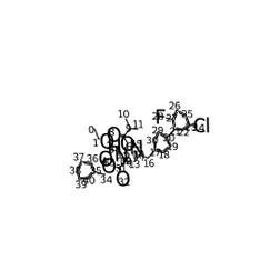 CCOC(=O)N(OC(=O)C(C)C)[C@H](C[C@H](N)Cc1ccc(-c2cc(Cl)ccc2F)cc1)C(=O)OCc1ccccc1